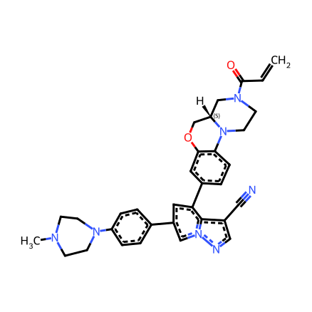 C=CC(=O)N1CCN2c3ccc(-c4cc(-c5ccc(N6CCN(C)CC6)cc5)cn5ncc(C#N)c45)cc3OC[C@@H]2C1